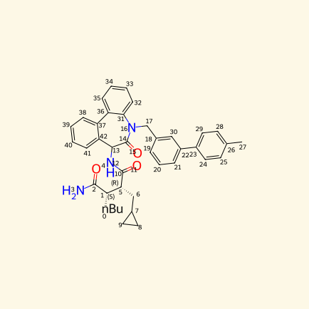 CCCC[C@H](C(N)=O)[C@@H](CC1CC1)C(=O)NC1C(=O)N(Cc2cccc(-c3ccc(C)cc3)c2)c2ccccc2-c2ccccc21